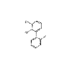 Fc1ccccc1-c1cc[c]c(Cl)c1Cl